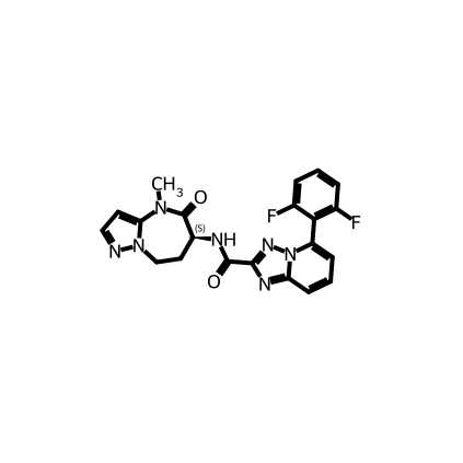 CN1C(=O)[C@@H](NC(=O)c2nc3cccc(-c4c(F)cccc4F)n3n2)CCn2nccc21